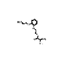 C=CCOc1ccccc1OCCOC(=O)C(=C)C